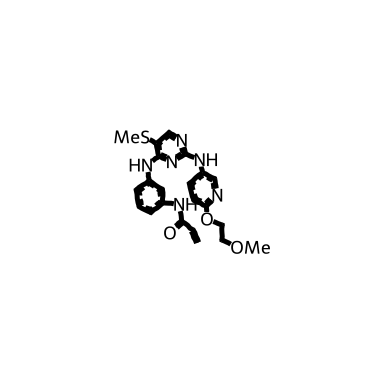 C=CC(=O)Nc1cccc(Nc2nc(Nc3ccc(OCCOC)nc3)ncc2SC)c1